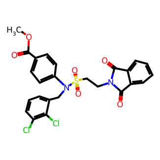 COC(=O)c1ccc(N(Cc2cccc(Cl)c2Cl)S(=O)(=O)CCN2C(=O)c3ccccc3C2=O)cc1